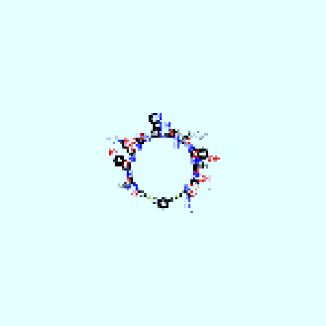 CCC[C@@H]1NC(=O)[C@H](Cc2ccc(O)cc2)NC(=O)[C@H](CCC(=O)O)NC(=O)C(C)(C)NC(=O)[C@H](Cc2c[nH]c3ncccc23)NC(=O)[C@H]([C@@H](C)O)NC(=O)[C@H](CCCCN)NC(=O)[C@H](Cc2ccc(O)cc2)NC(=O)[C@H](C(C)(C)C)NC(=O)CCSCc2cccc(c2)CSC[C@@H](C(N)=O)NC(=O)[C@H]([C@@H](C)O)NC1=O